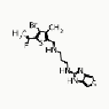 C=C(F)c1sc(CNCCCNc2nc3cscc3[nH]2)c(C)c1Br